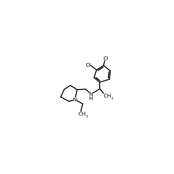 CCN1CCCCC1CNC(C)c1ccc(Cl)c(Cl)c1